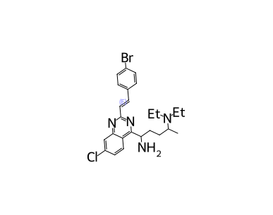 CCN(CC)C(C)CCC(N)c1nc(/C=C/c2ccc(Br)cc2)nc2cc(Cl)ccc12